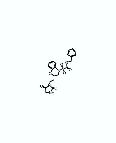 O=C1CNC(=O)N1CC[C@H]1CN(S(=O)(=O)C(=O)OCc2ccccc2)c2ccccc2O1